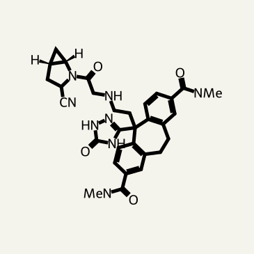 CNC(=O)c1ccc2c(c1)CCc1cc(C(=O)NC)ccc1C2(CCNCC(=O)N1C(C#N)C[C@@H]2C[C@@H]21)c1n[nH]c(=O)[nH]1